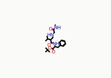 CNC(=O)CNCC(C(=O)NC(Cc1ccccc1)C(=O)OC(C)(C)C)C(C)C